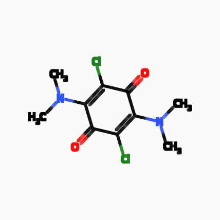 CN(C)C1=C(Cl)C(=O)C(N(C)C)=C(Cl)C1=O